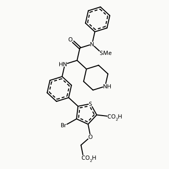 CSN(C(=O)C(Nc1cccc(-c2sc(C(=O)O)c(OCC(=O)O)c2Br)c1)C1CCNCC1)c1ccccc1